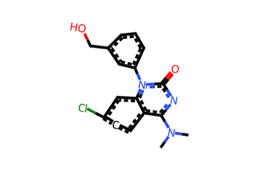 CN(C)c1nc(=O)n(-c2cccc(CO)c2)c2cc(Cl)ccc12